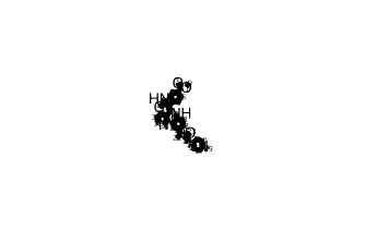 COC(=O)c1ccc2c(c1)NC(=O)C2=C(Nc1ccc(N(C)C(=O)CN2CCN(C)CC2)cc1)c1cccnc1